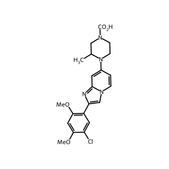 COc1cc(OC)c(-c2cn3ccc(N4CCN(C(=O)O)CC4C)cc3n2)cc1Cl